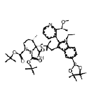 CCn1c(-c2cccnc2[C@H](C)OC)c(CC(C)(C)C[C@@]2(C(=O)O)[C@@H](C)CCN(C(=O)OC(C)(C)C)N2C(=O)OC(C)(C)C)c2cc(B3OC(C)(C)C(C)(C)O3)ccc21